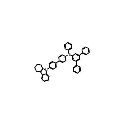 c1ccc(-c2cc(-c3ccccc3)cc(N(c3ccccc3)c3ccc(-c4ccc(-n5c6c(c7ccccc75)CCCC6)cc4)cc3)c2)cc1